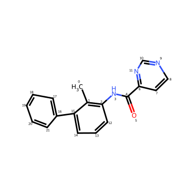 Cc1c(NC(=O)c2ccncn2)cccc1-c1ccccc1